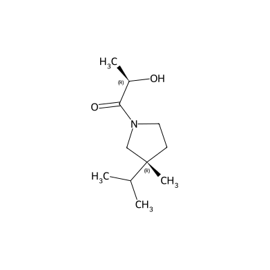 CC(C)[C@@]1(C)CCN(C(=O)[C@@H](C)O)C1